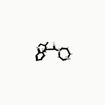 CC1CN=C2C=CC=CC23SCC(C(=O)N2CCCNCC2)C13